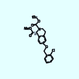 COC(=O)[C@H]1c2ccc(OCc3ccccc3Cl)cc2CCN1C(=O)OC(C)(C)C